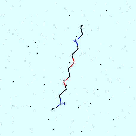 CC(C)CNCCOCCOCCNC(C)C